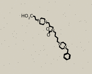 O=C(O)CCN1CCN(CC2CN(CCCCN3CCN(Cc4ccccc4)CC3)C(=O)O2)CC1